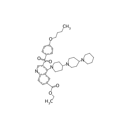 CCCCOc1ccc(S(=O)(=O)c2cnc3ccc(C(=O)OCC)cc3c2N2CCC(N3CCC(N4CCCCC4)CC3)CC2)cc1